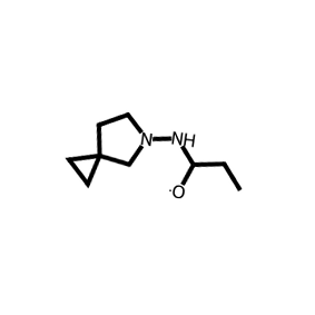 CCC([O])NN1CCC2(CC2)C1